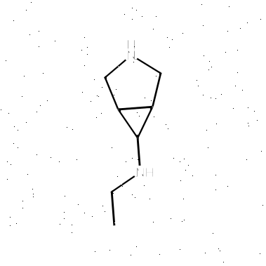 CCNC1C2CNCC21